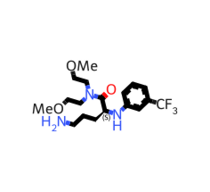 COCCN(CCOC)C(=O)[C@H](CCCN)Nc1cccc(C(F)(F)F)c1